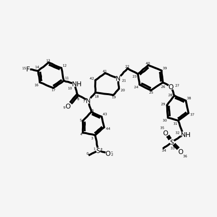 C[S+]([O-])c1ccc(N(C(=O)Nc2ccc(F)cc2)C2CCN(Cc3ccc(Oc4ccc(NS(C)(=O)=O)cc4)cc3)CC2)cc1